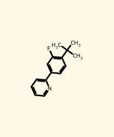 CC(C)(C)c1ccc(-c2ccccn2)cc1F